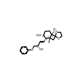 C[C@]12CC[C@@H](O)[C@H](/C=C/[C@H](O)COc3ccccc3)[C@H]1CC21OCCO1